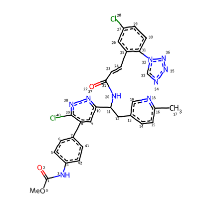 COC(=O)Nc1ccc(-c2cc(C(Cc3ccc(C)nc3)NC(=O)/C=C/c3cc(Cl)ccc3-n3cnnn3)nnc2Cl)cc1